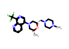 C[C@@H]1CN(c2cnc(C(F)(F)F)c3ncccc23)C[C@H](CN2CCN(C)CC2)O1